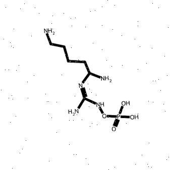 NCCCCC(N)N=C(N)NOP(=O)(O)O